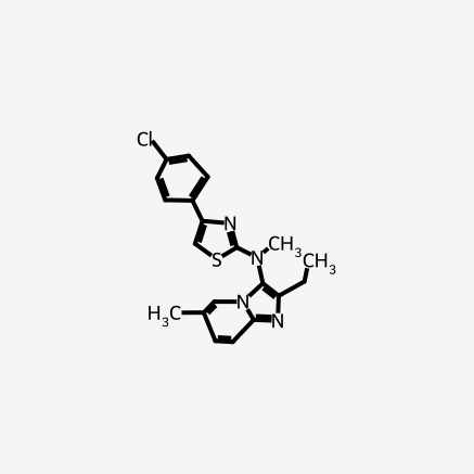 CCc1nc2ccc(C)cn2c1N(C)c1nc(-c2ccc(Cl)cc2)cs1